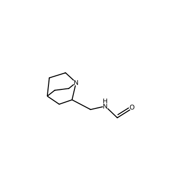 O=CNCC1CC2CCN1CC2